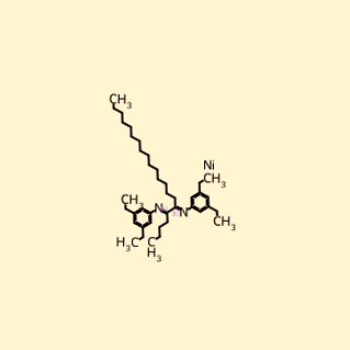 CCCCCCCCCCCCCCCC(=N\c1cc(CC)cc(CC)c1)/C(CCCC)=N/c1cc(CC)cc(CC)c1.[Ni]